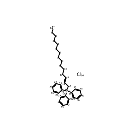 ClCCCCCCCCCCCC=CC[P+](c1ccccc1)(c1ccccc1)c1ccccc1.[Cl-]